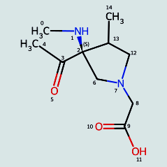 CN[C@]1(C(C)=O)CN(CC(=O)O)CC1C